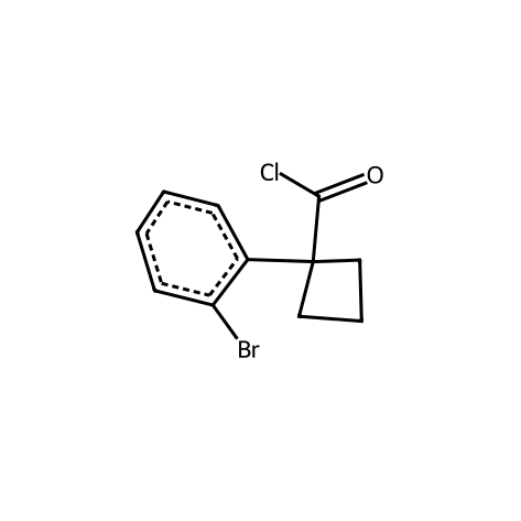 O=C(Cl)C1(c2ccccc2Br)CCC1